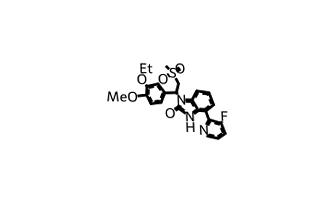 CCOc1cc(C(CS(C)(=O)=O)n2c(=O)[nH]c3c(-c4ncccc4F)cccc32)ccc1OC